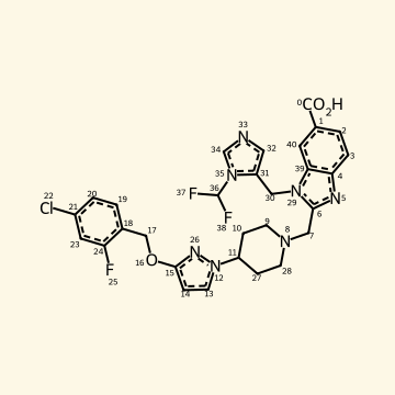 O=C(O)c1ccc2nc(CN3CCC(n4ccc(OCc5ccc(Cl)cc5F)n4)CC3)n(Cc3cncn3C(F)F)c2c1